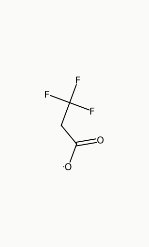 [O]C(=O)CC(F)(F)F